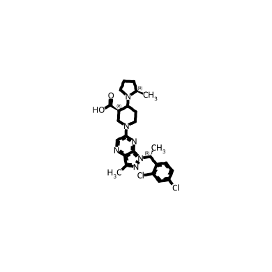 Cc1nn([C@H](C)c2ccc(Cl)cc2Cl)c2nc(N3CCC(N4CCC[C@H]4C)[C@H](C(=O)O)C3)cnc12